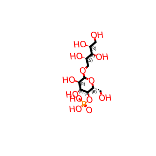 O=P(O)(O)O[C@H]1[C@H](O)[C@@H](O)C(OC[C@H](O)[C@H](O)[C@H](O)CO)O[C@@H]1CO